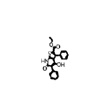 CCOC(=O)c1sc2[nH]c(=O)c(-c3ccccc3)c(O)c2c1-c1ccccc1